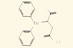 O=C(O)CC(O)C(=O)O.c1cc[c]([Sn][c]2ccccc2)cc1